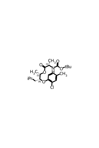 Cc1ccc(O[C@H](CC(C)C)[C@H](C)OC(=O)[C@H](C)NC(=O)OC(C)(C)C)c(Cl)c1